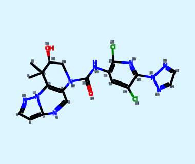 CC1(C)c2c(cnc3ccnn23)N(C(=O)Nc2cc(Cl)c(-n3nccn3)nc2Cl)C[C@@H]1O